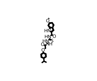 COc1ccc2cc(C(=O)NC(=S)NNC(=O)COc3ccc(C(C)C)cc3)[nH]c2c1